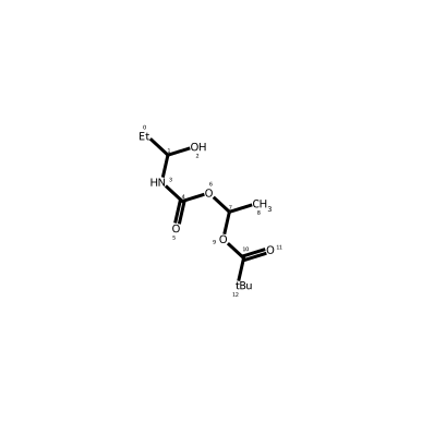 [CH2]CC(O)NC(=O)OC(C)OC(=O)C(C)(C)C